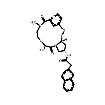 CN1CCC[C@H](N)C(=O)N2C[C@@H](NC(=O)Cc3ccc4ccccc4c3)C[C@H]2COc2cccc(c2)C1=O